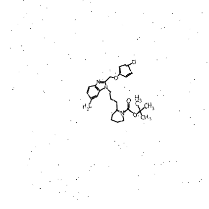 Cc1ccc2nc(COc3ccc(Cl)cc3)n(CCCC3CCCCN3C(=O)OC(C)(C)C)c2c1